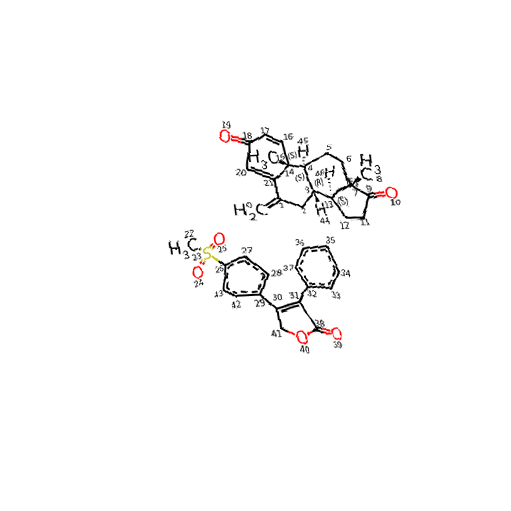 C=C1C[C@@H]2[C@H](CC[C@]3(C)C(=O)CC[C@@H]23)[C@@]2(C)C=CC(=O)C=C12.CS(=O)(=O)c1ccc(C2=C(c3ccccc3)C(=O)OC2)cc1